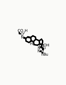 CCCCn1cc([C@]2(O)CCC3C4CCC5=C/C(=N\OCC(=O)O)CC[C@@H]5C4CC[C@@]32C)nn1